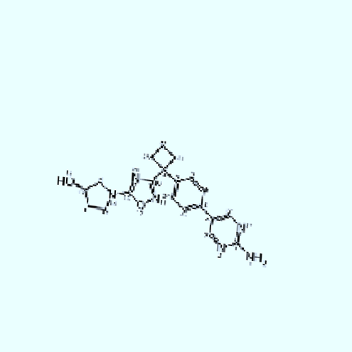 Nc1ncc(-c2ccc(C3(c4noc(N5CC[C@@H](O)C5)n4)CCC3)cc2)cn1